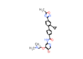 Cc1nc(-c2ccc(-c3ccc(C(=O)Nc4cc(OCCN(C)C)c(Br)cn4)cc3)c(C3CC3)c2)no1